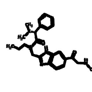 CCCN(Cc1nc2ccc(C(=O)CNC)cc2[nH]1)C(=O)[C@@H](c1ccccc1)N(C)C